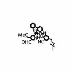 COCc1cc(C(=O)NC2(c3nc4cc(CN5CC(F)C5)cc(C#N)c4o3)C=CC=C(c3ccccc3C)C2Cl)ncc1C=O